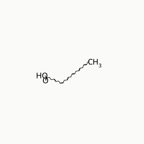 CCC=CCC=CCC=CCC=CC/C=C\C/C=C/CCC(=O)O